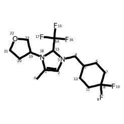 CC1=CN(CC2CCC(F)(F)CC2)C(C(F)(F)F)N1C1CCOC1